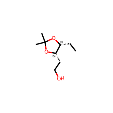 CC[C@H]1OC(C)(C)O[C@H]1CCO